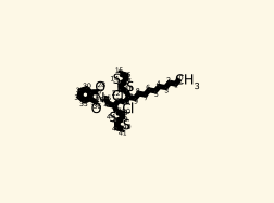 CCCCCCCCCCC(c1cc2sccc2s1)C(Cl)C(Cl)C(CCN1C(=O)c2ccccc2C1=O)c1cc2sccc2s1